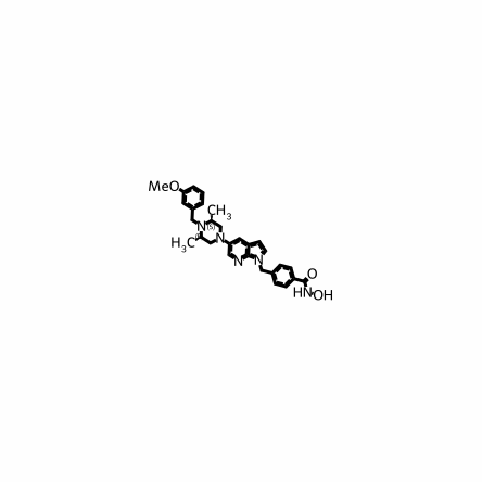 COc1cccc(CN2[C@H](C)CN(c3cnc4c(ccn4Cc4ccc(C(=O)NO)cc4)c3)C[C@@H]2C)c1